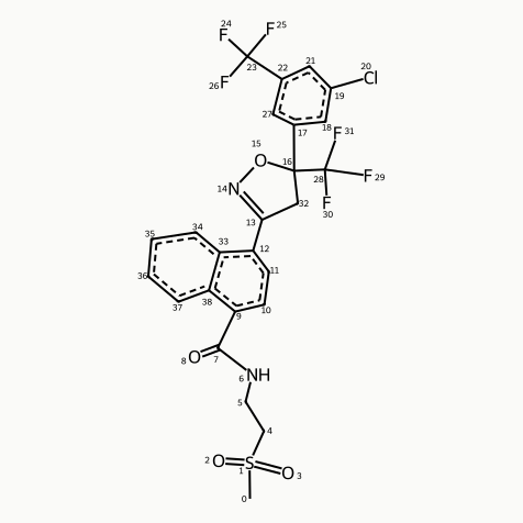 CS(=O)(=O)CCNC(=O)c1ccc(C2=NOC(c3cc(Cl)cc(C(F)(F)F)c3)(C(F)(F)F)C2)c2ccccc12